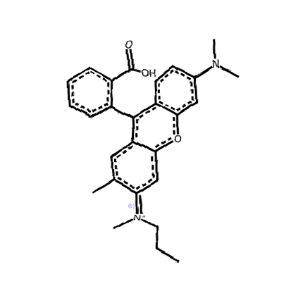 CCC/[N+](C)=c1\cc2oc3cc(N(C)C)ccc3c(-c3ccccc3C(=O)O)c-2cc1C